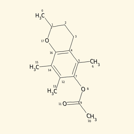 C[C]1CCc2c(C)c(OC(C)=O)c(C)c(C)c2O1